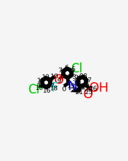 CC(c1cc(Cl)ccc1OCc1ccc(Cl)cc1F)n1ccc2c(C(=O)O)cccc21